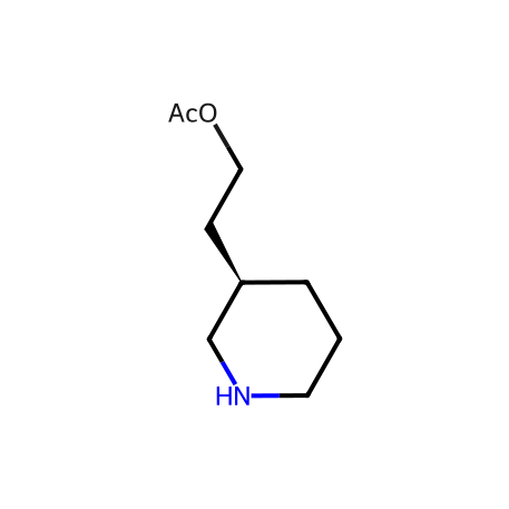 CC(=O)OCC[C@H]1CCCNC1